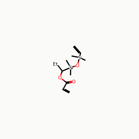 C=CC(=O)OC(CC)[Si](C)(C)O[Si](C)(C)C=C